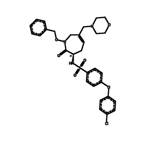 O=C1[C@H](NS(=O)(=O)c2ccc(Oc3ccc(Cl)cc3)cc2)CC=C(CN2CCOCC2)CN1OCc1ccccc1